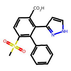 CS(=O)(=O)c1ccc(C(=O)O)c(-c2cc[nH]n2)c1-c1ccccc1